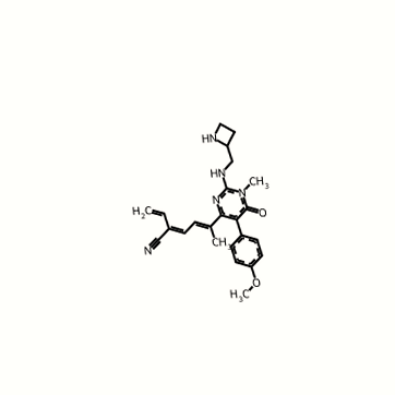 C=C/C(C#N)=C\C=C(/C)c1nc(NCC2CCN2)n(C)c(=O)c1-c1ccc(OC)cc1